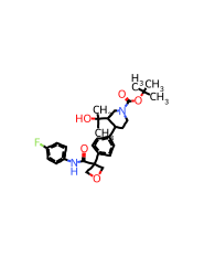 CC(C)(C)OC(=O)N1CCC(c2ccc(C3(C(=O)Nc4ccc(F)cc4)COC3)cc2)C(C(C)(C)O)C1